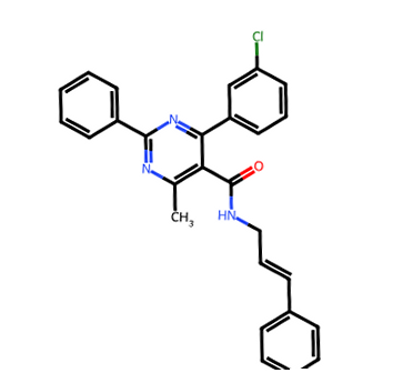 Cc1nc(-c2ccccc2)nc(-c2cccc(Cl)c2)c1C(=O)NCC=Cc1ccccc1